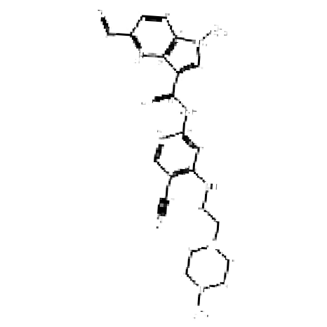 CN1CCN(CCNc2cc(NC(=O)c3cn(C)c4ccc(C=O)nc34)ncc2C#N)CC1